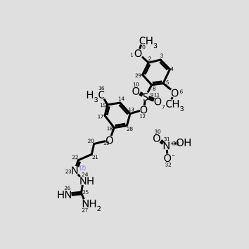 COc1ccc(OC)c(S(=O)(=O)Oc2cc(C)cc(OCC/C=N\NC(=N)N)c2)c1.O=[N+]([O-])O